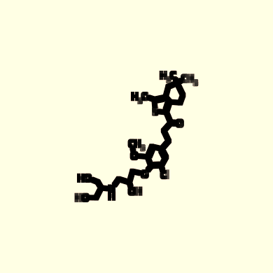 COc1cc(CCC(=O)c2sc(C)c3c2CCC(C)(C)C3)cc(Cl)c1OCC(O)CNC(CO)CO